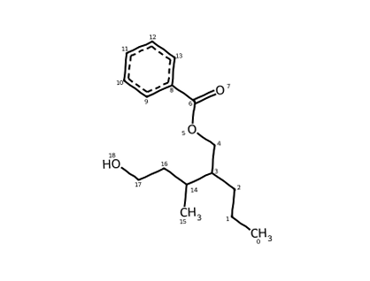 CCCC(COC(=O)c1ccccc1)C(C)CCO